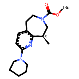 C[C@@H]1CN(C(=O)OC(C)(C)C)CCc2ccc(N3CCCCC3)nc21